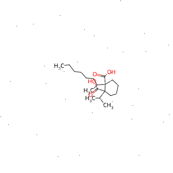 CCCCCCC(C)C1(C(=O)O)CCCCC1(C(=O)O)C(C)C